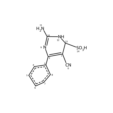 N#CC1=C(c2ccccc2)N=C(N)NC1S(=O)(=O)O